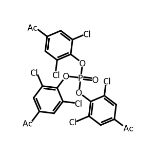 CC(=O)c1cc(Cl)c(OP(=O)(Oc2c(Cl)cc(C(C)=O)cc2Cl)Oc2c(Cl)cc(C(C)=O)cc2Cl)c(Cl)c1